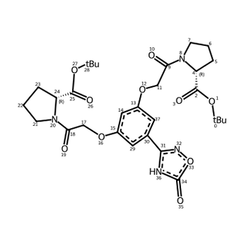 CC(C)(C)OC(=O)[C@H]1CCCN1C(=O)COc1cc(OCC(=O)N2CCC[C@@H]2C(=O)OC(C)(C)C)cc(-c2noc(=O)[nH]2)c1